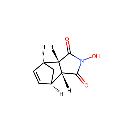 O=C1[C@@H]2[C@H](C(=O)N1O)[C@H]1C=C[C@@H]2C1